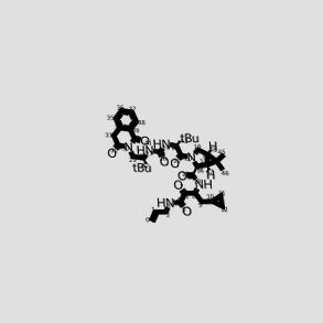 C=CCNC(=O)C(=O)C(CC1CC1)NC(=O)[C@@H]1[C@@H]2[C@H](CN1C(=O)[C@@H](NC(=O)N[C@H](CN1C(=O)Cc3ccccc3C1=O)C(C)(C)C)C(C)(C)C)C2(C)C